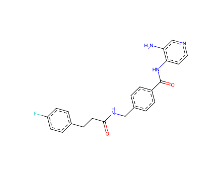 Nc1cnccc1NC(=O)c1ccc(CNC(=O)CCc2ccc(F)cc2)cc1